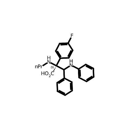 CCCN[C@@](C(=O)O)(c1ccc(F)cc1)C(Nc1ccccc1)c1ccccc1